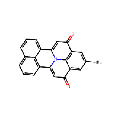 CC(C)(C)c1cc2c(=O)cc3c4cccc5cccc(c54)c4cc(=O)c(c1)c2n34